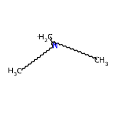 [CH2]CCc1cc(CCCCCCCCCCCCCCCCCCCCCC)nc(CCCCCCCCCCCCCCCCCCCCCC)c1